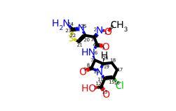 CO/N=C(\C(=O)N[C@@H]1C(=O)N2C(C(=O)O)=C(Cl)CC[C@H]12)c1csc(N)n1